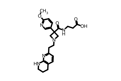 COc1ccc(C2(C(=O)NCCC(=O)O)CN(CCc3ccc4c(n3)NCCC4)C2)cn1